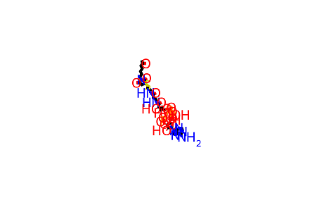 CC(=O)CCCCCN1C(=O)CC(SCCNC(=O)CCNC(=O)[C@H](O)C(C)(C)COP(=O)(O)OP(=O)(O)OC[C@@H]2O[C@H](n3cnc4c(N)ncnc43)[C@@H](O)[C@H]2OP(=O)(O)O)C1=O